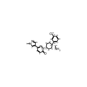 Cn1cc(-c2ccc(=O)n([C@H]3CC[C@](CN)(c4cccc(Cl)c4)CC3)n2)cn1